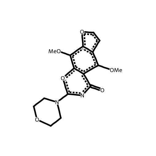 COc1c2occc2c(OC)c2c(=O)nc(N3CCOCC3)oc12